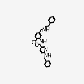 O=C(Nc1cc(CNCCc2ccccc2)ccc1Cl)c1ccc(NCc2ccccc2)nc1